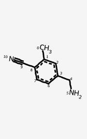 Cc1cc(CN)ccc1C#N